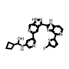 OC(Nc1cncc(-c2cc3c(-c4nc5c(-c6ccc(F)s6)nccc5[nH]4)n[nH]c3cn2)c1)C1CCC1